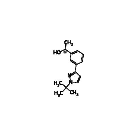 C[C@H](O)c1cccc(-c2ccn(C(C)(C)C)n2)c1